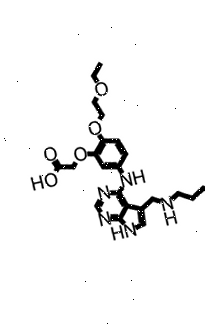 CCOCCOc1ccc(Nc2ncnc3[nH]cc(CNCCCNC)c23)cc1OCC(=O)O